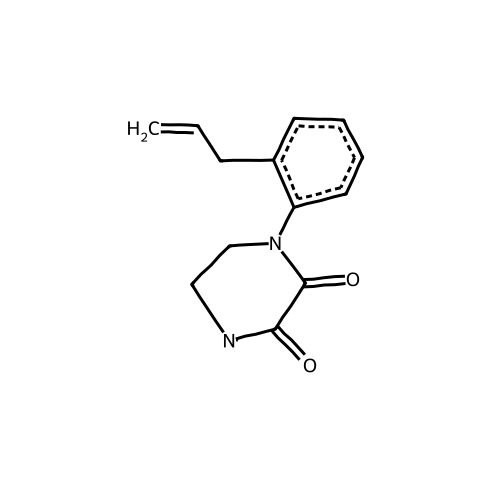 C=CCc1ccccc1N1CC[N]C(=O)C1=O